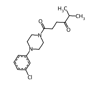 CC(C)C(=O)CCC(=O)N1CCN(c2cccc(Cl)c2)CC1